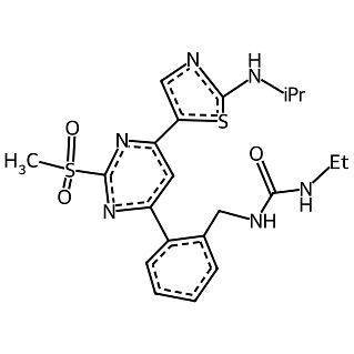 CCNC(=O)NCc1ccccc1-c1cc(-c2cnc(NC(C)C)s2)nc(S(C)(=O)=O)n1